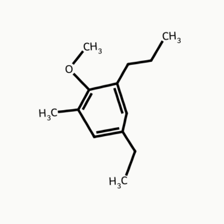 CCCc1cc(CC)cc(C)c1OC